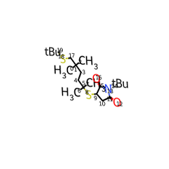 CC(C)(CCC(C)(C)SC1CC(=O)N(C(C)(C)C)C1=O)CSC(C)(C)C